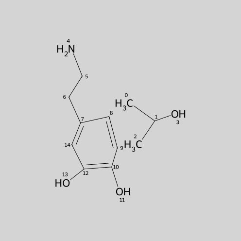 CC(C)O.NCCc1ccc(O)c(O)c1